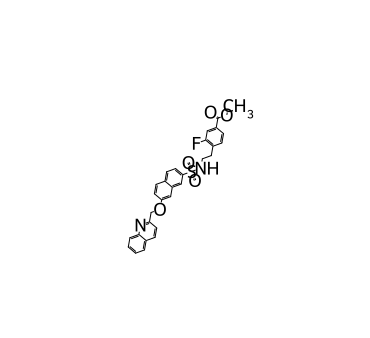 COC(=O)c1ccc(CCNS(=O)(=O)c2ccc3ccc(OCc4ccc5ccccc5n4)cc3c2)c(F)c1